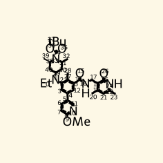 CCN(c1cc(-c2ccc(OC)nc2)cc(C(=O)NCc2c(C)cc(C)[nH]c2=O)c1C)C1CC(C)N(C(=O)OC(C)(C)C)[C@H](C)C1